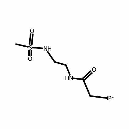 CC(C)CC(=O)NCCNS(C)(=O)=O